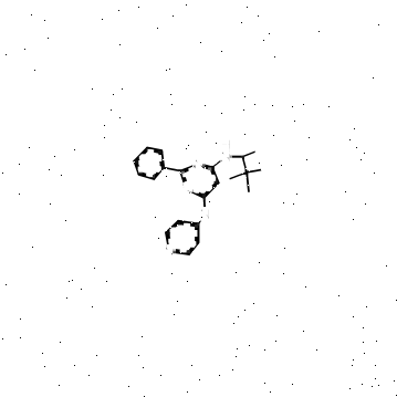 CC(Nc1cc(Nc2ccncc2)nc(-c2ccccc2)n1)C(C)(C)C